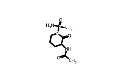 CC(=O)NC1CCCN(P(N)(N)=O)C1=O